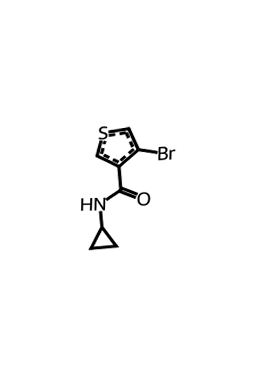 O=C(NC1CC1)c1cscc1Br